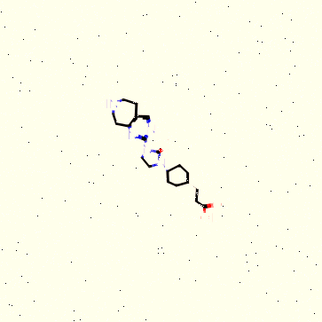 O=C(O)CC[C@H]1CC[C@H](N2CCN(c3ncc4c(n3)CCNCC4)C2=O)CC1